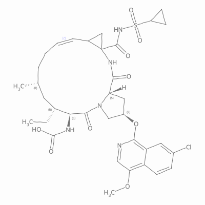 CC[C@@H]1C[C@H](C)CC/C=C\C2CC2(C(=O)NS(=O)(=O)C2CC2)NC(=O)[C@@H]2C[C@@H](Oc3ncc(OC)c4ccc(Cl)cc34)CN2C(=O)[C@H]1NC(=O)O